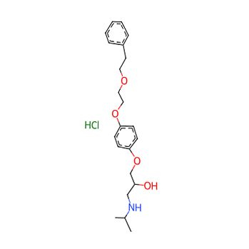 CC(C)NCC(O)COc1ccc(OCCOCCc2ccccc2)cc1.Cl